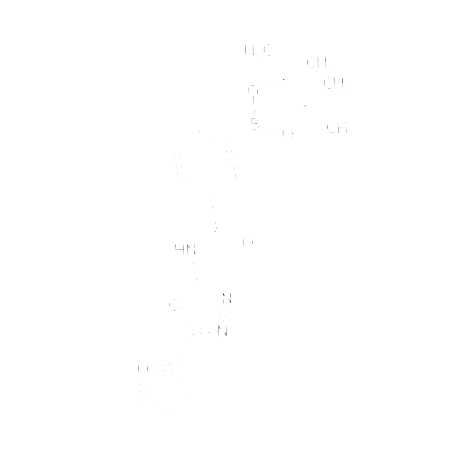 CC1(C)OB(c2cccc(C(=O)Nc3nnc(-c4ccco4)o3)c2)OC1(C)C